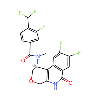 CN(C(=O)c1ccc(C(F)F)c(F)c1)[C@@H]1COCc2[nH]c(=O)c3cc(F)c(F)cc3c21